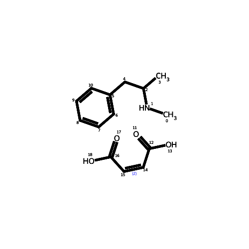 CNC(C)Cc1ccccc1.O=C(O)/C=C\C(=O)O